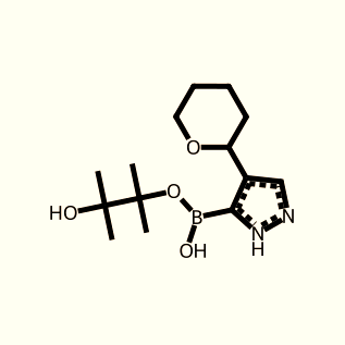 CC(C)(O)C(C)(C)OB(O)c1[nH]ncc1C1CCCCO1